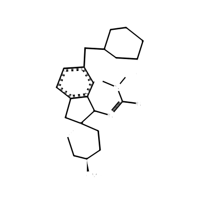 CO[C@H]1CC[C@]2(CC1)Cc1ccc(CC3CCCCC3)cc1C2/N=C(/N)N(C=O)C(C)C